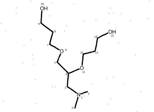 CN(C)CC(COCCCO)OCCCO